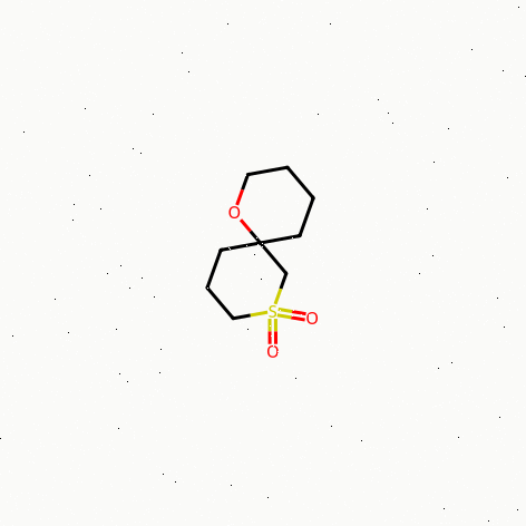 O=S1(=O)CCCC2(CCCCO2)C1